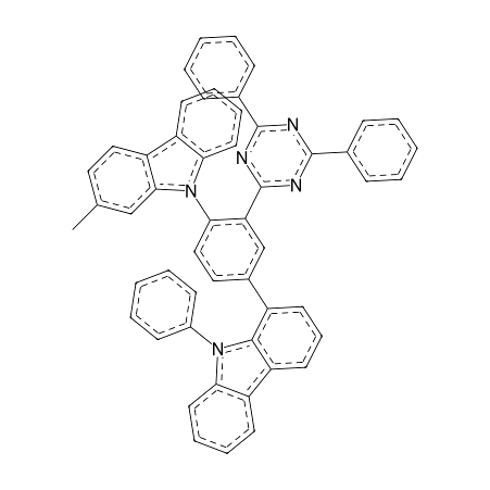 Cc1ccc2c3ccccc3n(-c3ccc(-c4cccc5c6ccccc6n(-c6ccccc6)c45)cc3-c3nc(-c4ccccc4)nc(-c4ccccc4)n3)c2c1